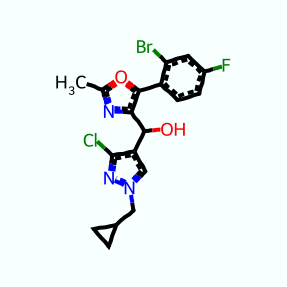 Cc1nc(C(O)c2cn(CC3CC3)nc2Cl)c(-c2ccc(F)cc2Br)o1